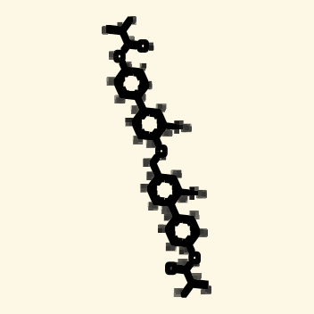 C=C(C)C(=O)Oc1ccc(-c2ccc(OCc3ccc(-c4ccc(OC(=O)C(=C)C)cc4)c(F)c3)c(F)c2)cc1